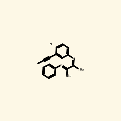 CC#Cc1cccc(N=C(CCCC)C(CCCC)=Nc2ccccc2)c1.[Ni]